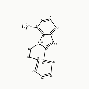 Cc1cccc2nc3n(c12)CCc1ccccc1-3